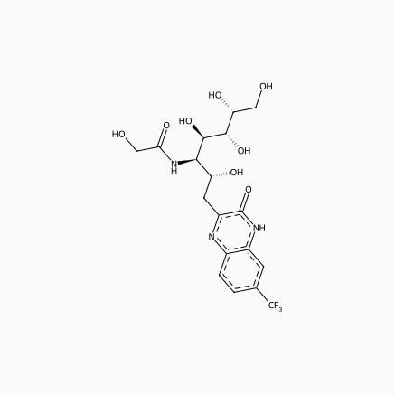 O=C(CO)N[C@@H]([C@@H](O)[C@@H](O)[C@H](O)CO)[C@H](O)Cc1nc2ccc(C(F)(F)F)cc2[nH]c1=O